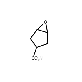 O=C(O)C1CC2OC2C1